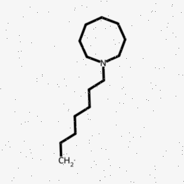 [CH2]CCCCCCN1CCCCCCC1